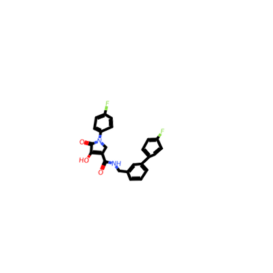 O=C(NCc1cccc(-c2ccc(F)cc2)c1)C1=C(O)C(=O)N(c2ccc(F)cc2)C1